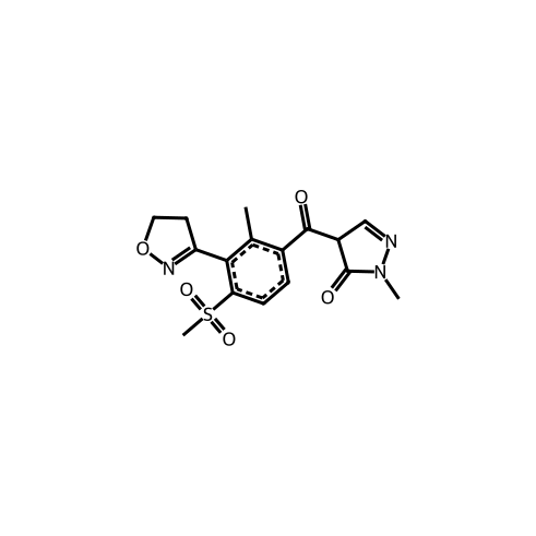 Cc1c(C(=O)C2C=NN(C)C2=O)ccc(S(C)(=O)=O)c1C1=NOCC1